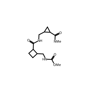 CNC(=O)C1CC1CNC(=O)C1CCC1CNC(=O)OC